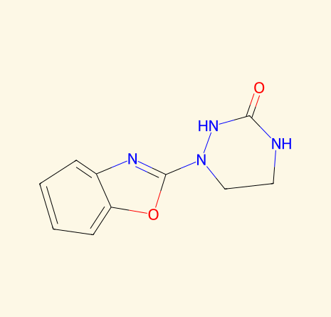 O=C1NCCN(c2nc3ccccc3o2)N1